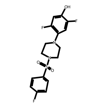 O=S(=O)(c1ccc(F)cc1)N1CCN(c2cc(F)c(O)cc2F)CC1